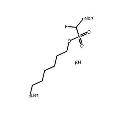 CCCCCCCCCCCCCCCCOS(=O)(=O)C(F)CCCCCCCCC.[KH]